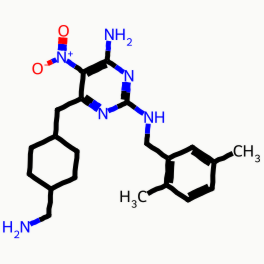 Cc1ccc(C)c(CNc2nc(N)c([N+](=O)[O-])c(CC3CCC(CN)CC3)n2)c1